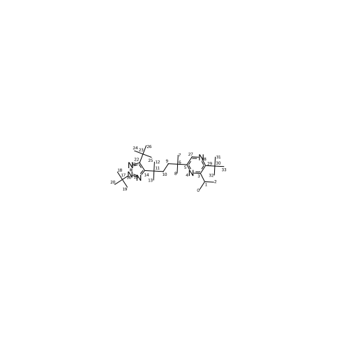 CC(C)c1nc(C(C)(C)CCC(C)(C)c2nn(C(C)(C)C)nc2C(C)(C)C)cnc1C(C)(C)C